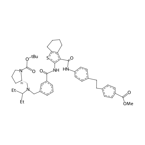 CCC(CC)N(Cc1cccc(C(=O)Nc2sc3c(c2C(=O)Nc2ccc(CCc4ccc(C(=O)OC)cc4)cc2)CCCC3)c1)C[C@@H]1CCCN1C(=O)OC(C)(C)C